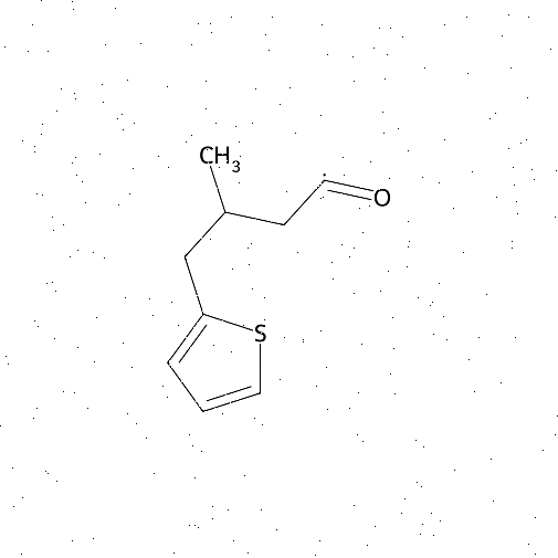 CC(C[C]=O)Cc1cccs1